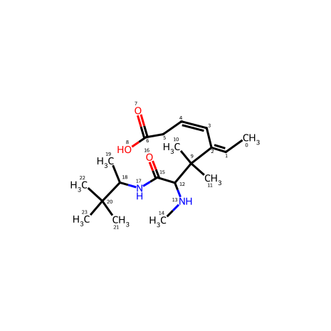 C/C=C(\C=C/CC(=O)O)C(C)(C)C(NC)C(=O)NC(C)C(C)(C)C